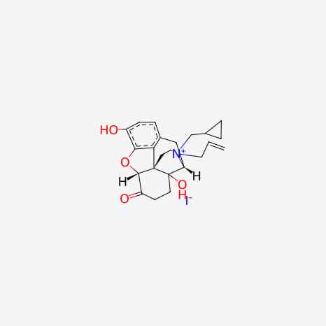 C=CC[N+]1(CC2CC2)CC[C@]23c4c5ccc(O)c4O[C@H]2C(=O)CCC3(O)[C@H]1C5.[I-]